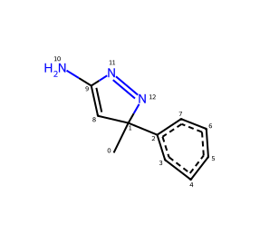 CC1(c2ccccc2)C=C(N)N=N1